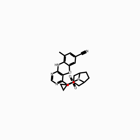 Cc1cc(C#N)cc(Cl)c1Nc1ncnc(OC2CC3CCC(C2)N3S(=O)(=O)C2CC2)c1C